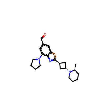 C[C@H]1CCCCN1[C@H]1C[C@H](c2nc3c(N4CCCC4)cc(C=O)cc3s2)C1